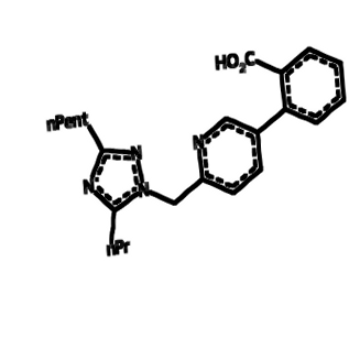 CCCCCc1nc(CCC)n(Cc2ccc(-c3ccccc3C(=O)O)cn2)n1